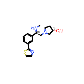 CN[C@@H](CN1CC[C@H](O)C1)c1cccc(-c2nccs2)c1